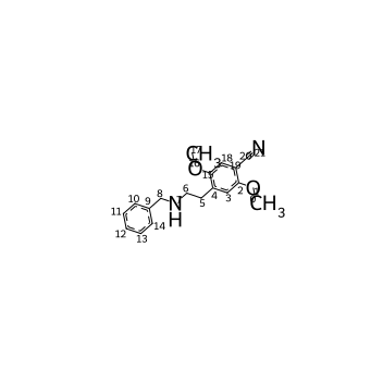 COc1cc(CCNCc2ccccc2)c(OC)cc1C#N